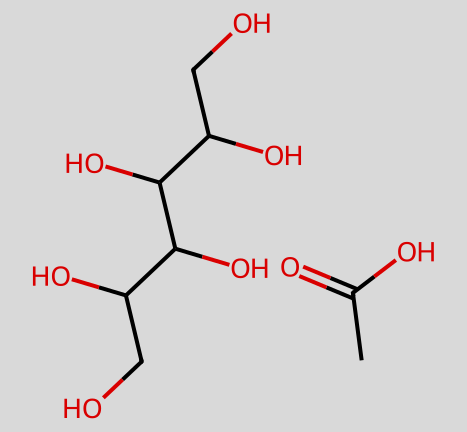 CC(=O)O.OCC(O)C(O)C(O)C(O)CO